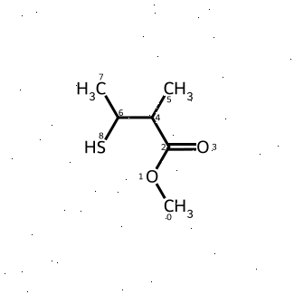 COC(=O)C(C)C(C)S